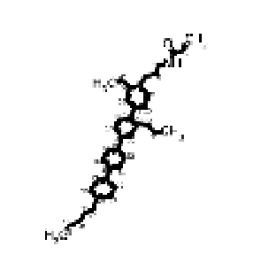 C=CC(=O)NCCCc1ccc(-c2ccc(-c3ccc(-c4ccc(CCCCC)cc4)cc3)cc2CCC)cc1CC